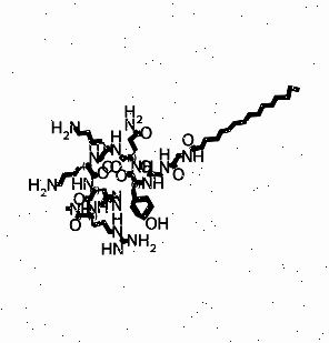 CCCCCCCCCCCCCCCC(=O)NCC(=O)NCC(=O)N[C@@H](Cc1ccc(O)cc1)C(=O)N[C@@H](CCC(N)=O)C(=O)N[C@@H](CCCCN)C(=O)N[C@@H](CCCCN)C(=O)N[C@@H](CC1(C)N=N1)C(=O)N[C@@H](CCCNC(=N)N)C(=O)NC